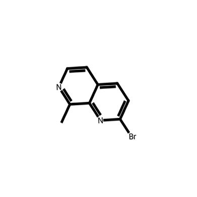 Cc1nccc2ccc(Br)nc12